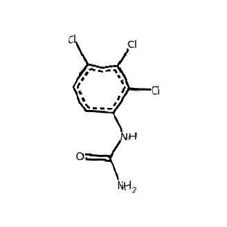 NC(=O)Nc1ccc(Cl)c(Cl)c1Cl